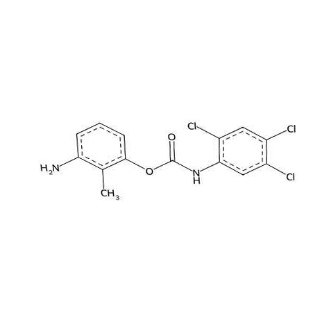 Cc1c(N)cccc1OC(=O)Nc1cc(Cl)c(Cl)cc1Cl